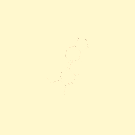 COc1cc(N2CCN3CCCC3C2)ccc1N